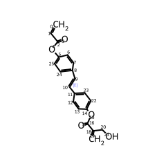 C=CC(=O)Oc1ccc(/C=C/c2ccc(OC(=O)C(=C)CO)cc2)cc1